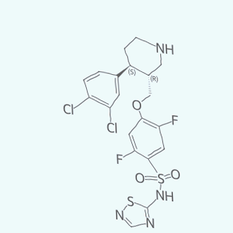 O=S(=O)(Nc1ncns1)c1cc(F)c(OC[C@H]2CNCC[C@@H]2c2ccc(Cl)c(Cl)c2)cc1F